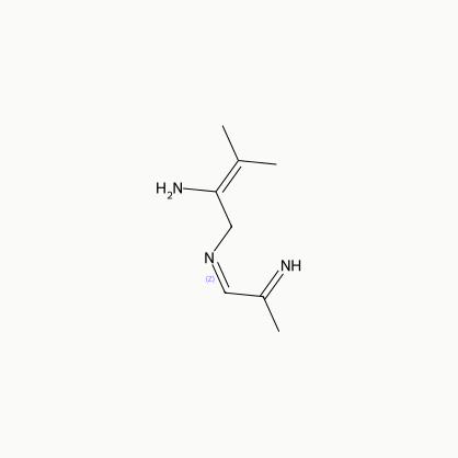 CC(=N)/C=N\CC(N)=C(C)C